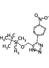 CC(C)(C)[Si](C)(C)OCc1[nH]nnc1-c1ccc([N+](=O)[O-])cc1